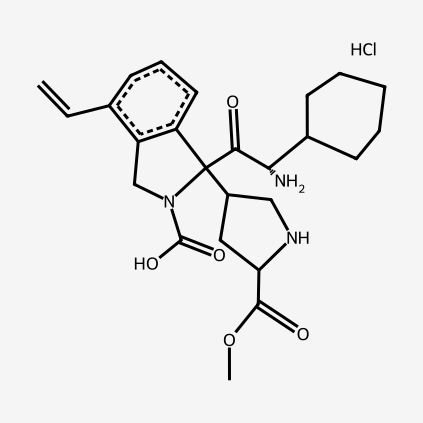 C=Cc1cccc2c1CN(C(=O)O)C2(C(=O)[C@@H](N)C1CCCCC1)C1CNC(C(=O)OC)C1.Cl